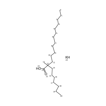 CCCCCCCCCCCCC(C)(CCCCCCC)C(=O)O.[KH]